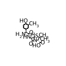 Cc1cc(C(N)C(=O)NC2C(=O)N3[C@@H]2SC(C)(C)[C@@H]3C(=O)O)ccc1O